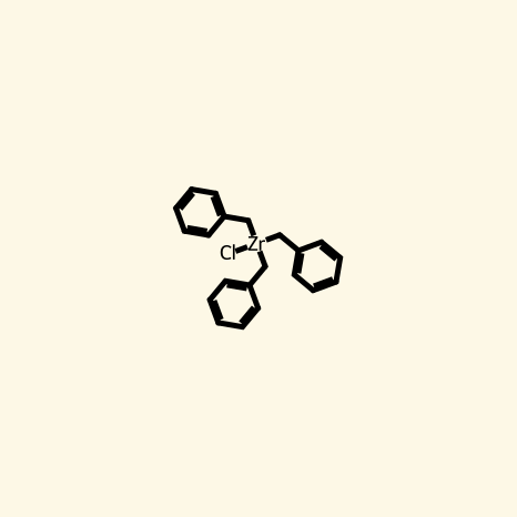 [Cl][Zr]([CH2]c1ccccc1)([CH2]c1ccccc1)[CH2]c1ccccc1